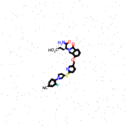 N#Cc1ccc(N2CCC(Sc3ccc(COc4cccc5c4CN([C@@H](CCC(=O)O)C(N)=O)C5=O)cn3)C2)c(F)c1